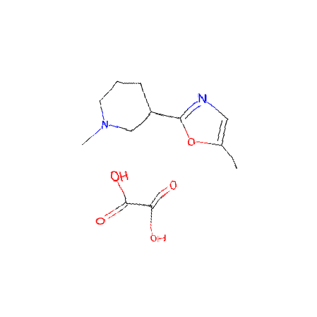 Cc1cnc(C2CCCN(C)C2)o1.O=C(O)C(=O)O